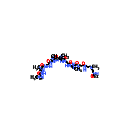 CCC(=O)NCCCN(C)CCCNC(=O)CCNC(=O)c1nc(NC(=O)CCNC(=O)c2cc(NC(=O)c3nc(NC(=O)CCNC(=O)c4nc(NC(=O)c5nccn5C)cn4C)cn3C)cn2C)cn1C